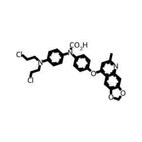 Cc1cc(Oc2ccc(N(C(=O)O)c3ccc(N(CCCl)CCCl)cc3)cc2)c2cc3c(cc2n1)OCO3